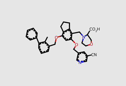 Cc1c(COc2cc(OCc3cncc(C#N)c3)c(CN3CCOCC3C(=O)O)c3c2CCC3)cccc1-c1ccccc1